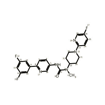 CN(C(=O)Nc1ccc(-c2cc(F)cc(F)c2)nc1)C1CCN(c2ccc(F)cn2)CC1